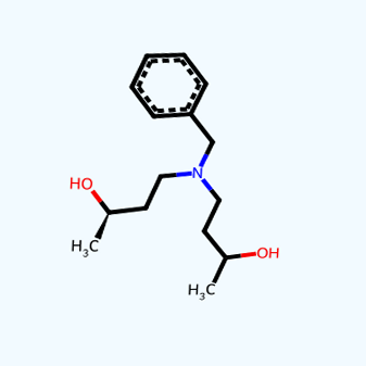 CC(O)CCN(CC[C@@H](C)O)Cc1ccccc1